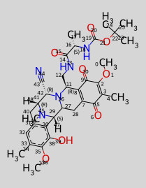 COC1=C(C)C(=O)C2=C(C1=O)[C@H](CNC(=O)[C@H](C)NC(=O)OC(C)(C)C)N1C(C2)[C@@H]2c3c(cc(C)c(OC)c3O)C[C@H]([C@@H]1C#N)N2C